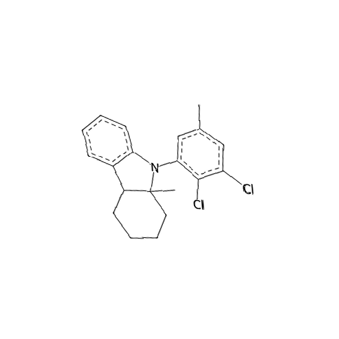 Cc1cc(Cl)c(Cl)c(N2c3ccccc3C3CCCCC32C)c1